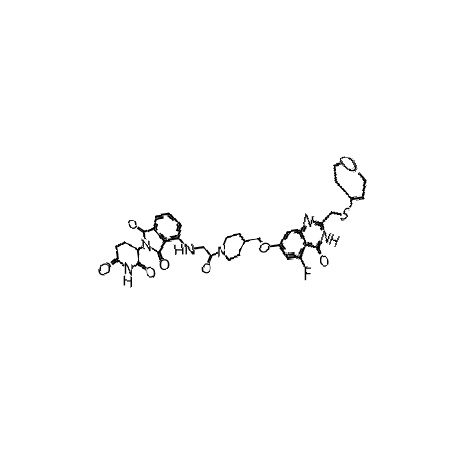 O=C1CCC(N2C(=O)c3cccc(NCC(=O)N4CCC(COc5cc(F)c6c(=O)[nH]c(CSC7CCOCC7)nc6c5)CC4)c3C2=O)C(=O)N1